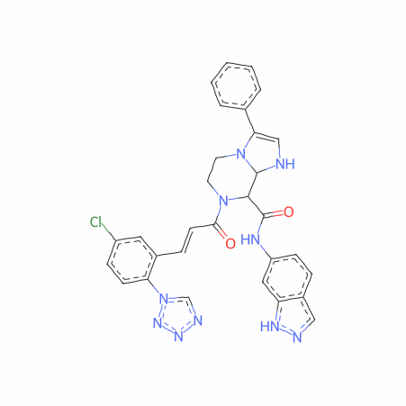 O=C(Nc1ccc2cn[nH]c2c1)C1C2NC=C(c3ccccc3)N2CCN1C(=O)/C=C/c1cc(Cl)ccc1-n1cnnn1